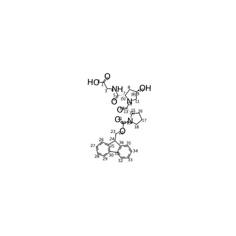 O=C(O)CNC(=O)[C@@H]1C[C@@H](O)CN1C(=O)[C@@H]1CCCN1C(=O)OCC1c2ccccc2-c2ccccc21